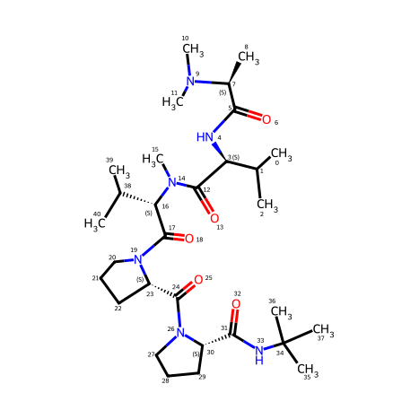 CC(C)[C@H](NC(=O)[C@H](C)N(C)C)C(=O)N(C)[C@H](C(=O)N1CCC[C@H]1C(=O)N1CCC[C@H]1C(=O)NC(C)(C)C)C(C)C